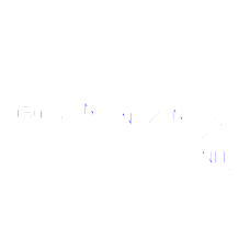 CC(C)(C)OC(=O)N1CCN(c2ccc(C(N)=O)nc2)CC1